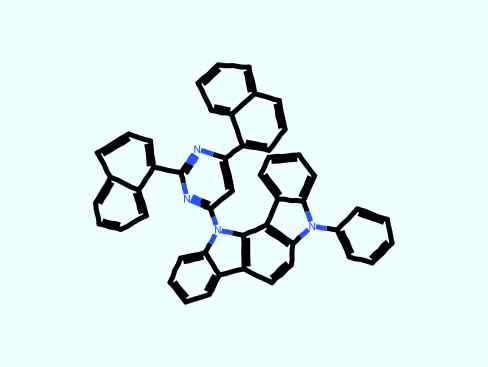 c1ccc(-n2c3ccccc3c3c2ccc2c4ccccc4n(-c4cc(-c5cccc6ccccc56)nc(-c5cccc6ccccc56)n4)c23)cc1